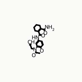 C#CCN1C(=O)COc2ccc(NC(=O)C3=C(C(N)=O)CCCC3)cc21